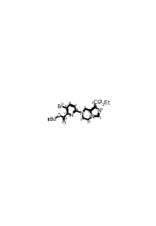 CCOC(=O)c1ncn2c1CN(c1ccc(Br)c(C(=O)OC(C)(C)C)n1)CC2